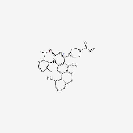 C=CC(=O)N1CCN(/C(=N/C=O)c2c(N(C)c3c(C)ccnc3C(C)C)cc(-c3c(O)cccc3F)c(F)c2OC)CC1